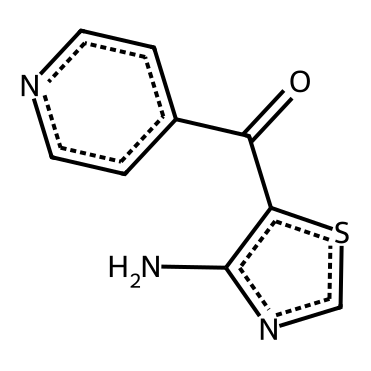 Nc1ncsc1C(=O)c1ccncc1